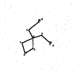 FCC1(CF)C[CH]C1